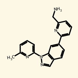 Cc1cccc(-n2ncc3ccc(-c4cccc(CN)n4)cc32)n1